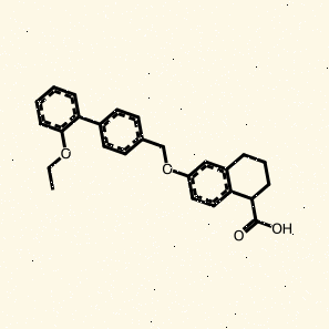 CCOc1ccccc1-c1ccc(COc2ccc3c(c2)CCCC3C(=O)O)cc1